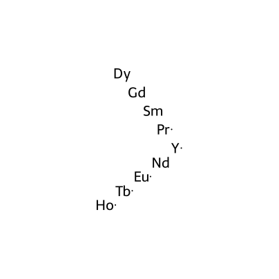 [Dy].[Eu].[Gd].[Ho].[Nd].[Pr].[Sm].[Tb].[Y]